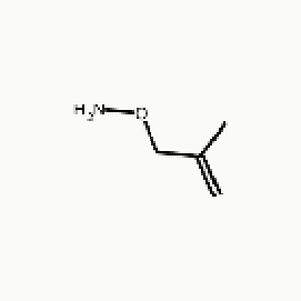 C=C(C)CON